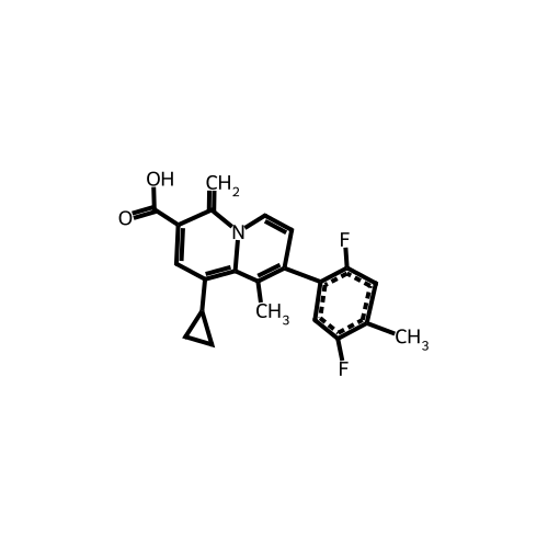 C=C1C(C(=O)O)=CC(C2CC2)=C2C(C)=C(c3cc(F)c(C)cc3F)C=CN12